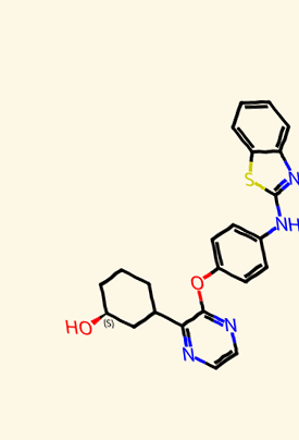 O[C@H]1CCCC(c2nccnc2Oc2ccc(Nc3nc4ccccc4s3)cc2)C1